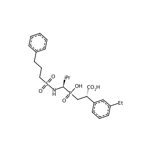 CCc1cccc([C@H](CP(=O)(O)[C@@H](NS(=O)(=O)CCCc2ccccc2)C(C)C)C(=O)O)c1